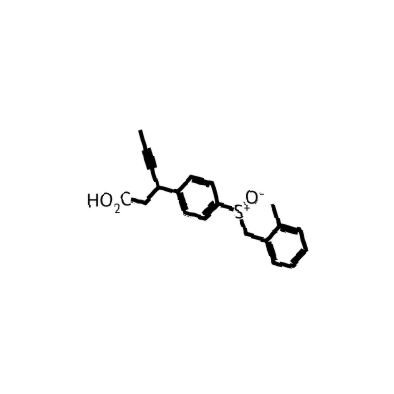 CC#CC(CC(=O)O)c1ccc([S+]([O-])Cc2ccccc2C)cc1